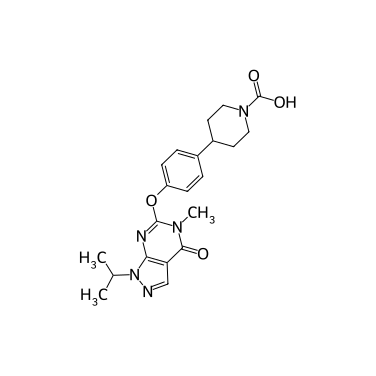 CC(C)n1ncc2c(=O)n(C)c(Oc3ccc(C4CCN(C(=O)O)CC4)cc3)nc21